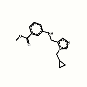 COC(=O)c1cccc(NCc2cncn2CC2CC2)c1